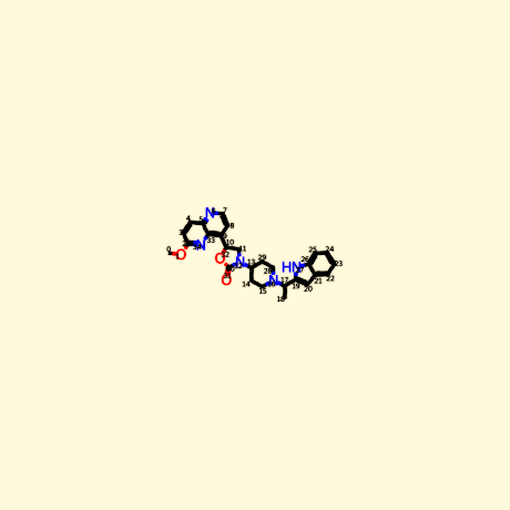 COc1ccc2nccc(C3CN(C4CCN(C(C)c5cc6ccccc6[nH]5)CC4)C(=O)O3)c2n1